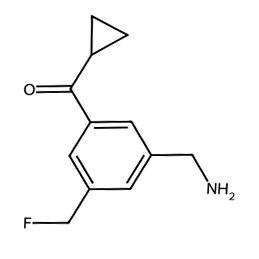 NCc1cc(CF)cc(C(=O)C2CC2)c1